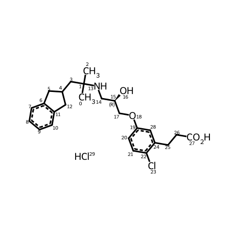 CC(C)(CC1Cc2ccccc2C1)NC[C@@H](O)COc1ccc(Cl)c(CCC(=O)O)c1.Cl